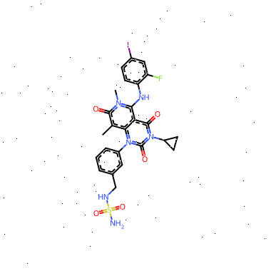 Cc1c(=O)n(C)c(Nc2ccc(I)cc2F)c2c(=O)n(C3CC3)c(=O)n(-c3cccc(CNS(N)(=O)=O)c3)c12